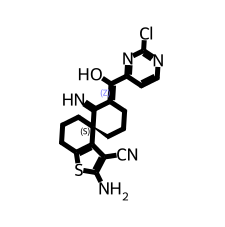 N#Cc1c(N)sc2c1[C@]1(CCC/C(=C(/O)c3ccnc(Cl)n3)C1=N)CCC2